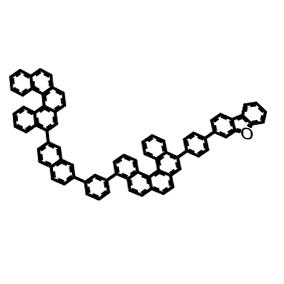 c1cc(-c2ccc3ccc(-c4cc5ccc6ccc7ccccc7c6c5c5ccccc45)cc3c2)cc(-c2cccc3c2ccc2ccc4cc(-c5ccc(-c6ccc7c(c6)oc6ccccc67)cc5)c5ccccc5c4c23)c1